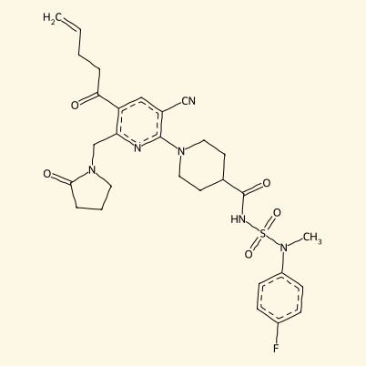 C=CCCC(=O)c1cc(C#N)c(N2CCC(C(=O)NS(=O)(=O)N(C)c3ccc(F)cc3)CC2)nc1CN1CCCC1=O